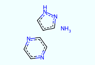 N.c1cn[nH]c1.c1cnccn1